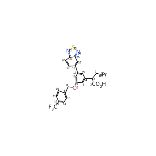 CC(C)CC(C(=O)O)c1cc(OCc2ccc(C(F)(F)F)cc2)cc(-c2ccc3nsnc3c2)c1